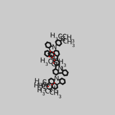 CC(C)(C)c1ccc(-c2ccccc2N(c2ccc([Si](C)(C)C)cc2)c2ccc3c4cc5c(cc4n4c6ccccc6c2c34)c2ccc(N(c3ccc([Si](C)(C)C)cc3)c3ccccc3-c3ccc(C(C)(C)C)cc3)c3c4ccccc4n5c23)cc1